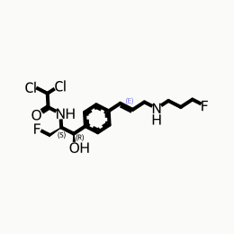 O=C(N[C@H](CF)[C@H](O)c1ccc(/C=C/CNCCCF)cc1)C(Cl)Cl